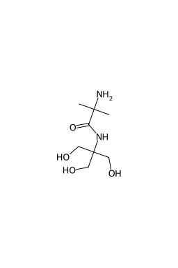 CC(C)(N)C(=O)NC(CO)(CO)CO